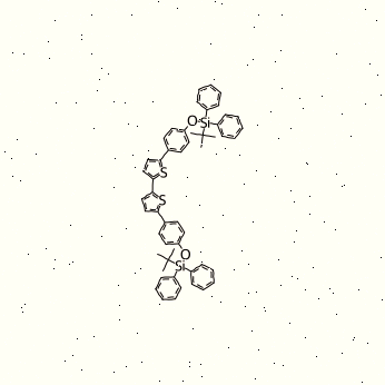 CC(C)(C)[Si](Oc1ccc(-c2ccc(-c3ccc(-c4ccc(O[Si](c5ccccc5)(c5ccccc5)C(C)(C)C)cc4)s3)s2)cc1)(c1ccccc1)c1ccccc1